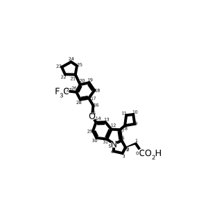 O=C(O)C[C@H]1CCn2c1c(C1CCC1)c1cc(OCc3ccc(C4CCCC4)c(C(F)(F)F)c3)ccc12